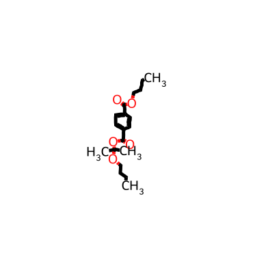 CCCCOC(=O)c1ccc(C(=O)OC(C)(C)OCCCC)cc1